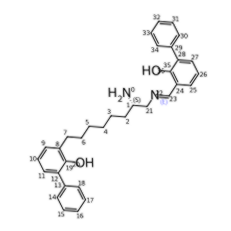 N[C@@H](CCCCCCc1cccc(-c2ccccc2)c1O)C/N=C/c1cccc(-c2ccccc2)c1O